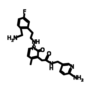 Cc1ccn(NCCc2cc(F)ccc2CN)c(=O)c1CC(=O)NCc1ccc(N)nc1